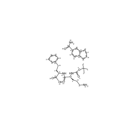 CC(C)(C)OC(=O)N[C@@H](CCCN)C(=O)N[C@H](CCc1ccccc1)C(=O)O.NC(=O)c1cnc2ccccc2c1